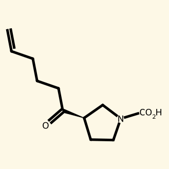 C=CCCCC(=O)[C@@H]1CCN(C(=O)O)C1